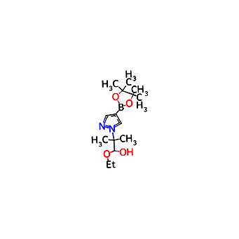 CCOC(O)C(C)(C)n1cc(B2OC(C)(C)C(C)(C)O2)cn1